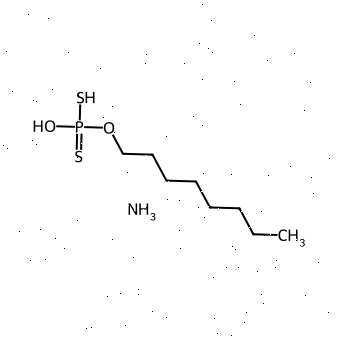 CCCCCCCCOP(O)(=S)S.N